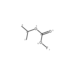 CC(C)OC(=O)OF